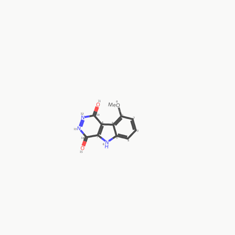 COc1cccc2[nH]c3c(c12)C(=O)N=NC3=O